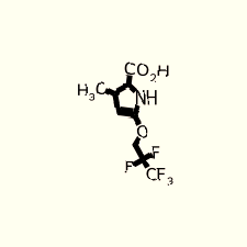 CC1C=C(OCC(F)(F)C(F)(F)F)NC1C(=O)O